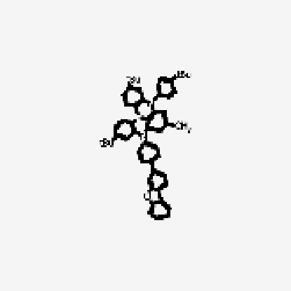 Cc1cc2c3c(c1)N(c1ccc(C(C)(C)C)cc1)c1cc(C(C)(C)C)ccc1B3c1ccc(C(C)(C)C)cc1N2c1ccc(-c2ccc3c(c2)oc2ccccc23)cc1